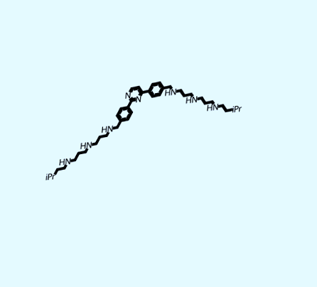 CC(C)CCNCCCNCCCNCc1ccc(-c2ccnc(-c3ccc(CNCCCNCCCNCCC(C)C)cc3)n2)cc1